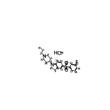 CCCN1CCC(N2CCc3cc(S(=O)(=O)c4cccc(F)c4)ccc32)CC1.Cl